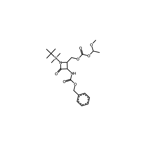 COC(C)OC(=O)OCC1C(NC(=O)OCc2ccccc2)C(=O)N1[Si](C)(C)C(C)(C)C